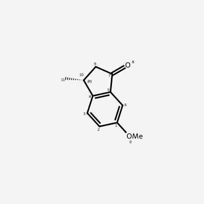 COc1ccc2c(c1)C(=O)C[C@H]2C